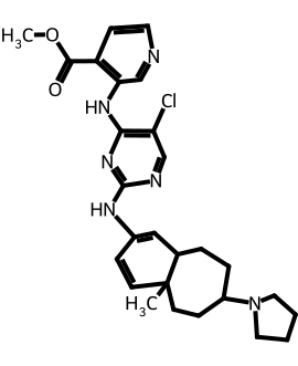 COC(=O)c1ccncc1Nc1nc(NC2=CC3CCC(N4CCCC4)CCC3(C)C=C2)ncc1Cl